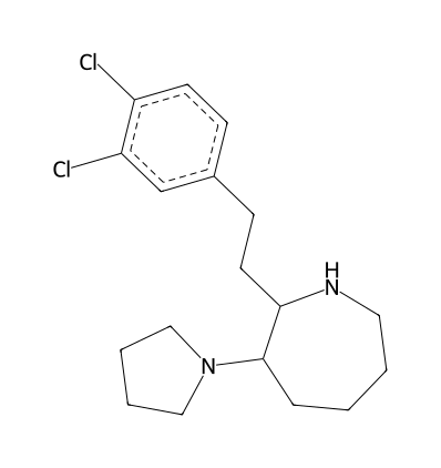 Clc1ccc(CCC2NCCCCC2N2CCCC2)cc1Cl